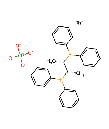 C[C@@H]([C@H](C)P(c1ccccc1)c1ccccc1)P(c1ccccc1)c1ccccc1.[O-][Cl+3]([O-])([O-])[O-].[Rh+]